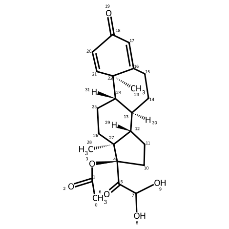 CC(=O)O[C@]1(C(=O)C(O)O)CC[C@H]2[C@@H]3CCC4=CC(=O)C=C[C@]4(C)[C@H]3CC[C@@]21C